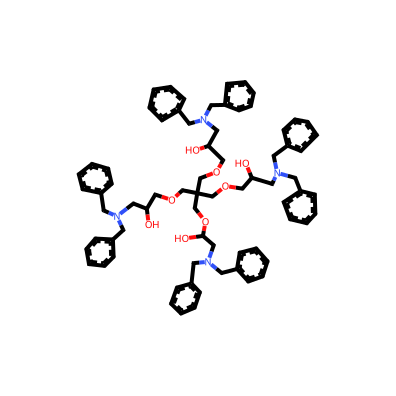 OC(COCC(COCC(O)CN(Cc1ccccc1)Cc1ccccc1)(COCC(O)CN(Cc1ccccc1)Cc1ccccc1)COC(O)CN(Cc1ccccc1)Cc1ccccc1)CN(Cc1ccccc1)Cc1ccccc1